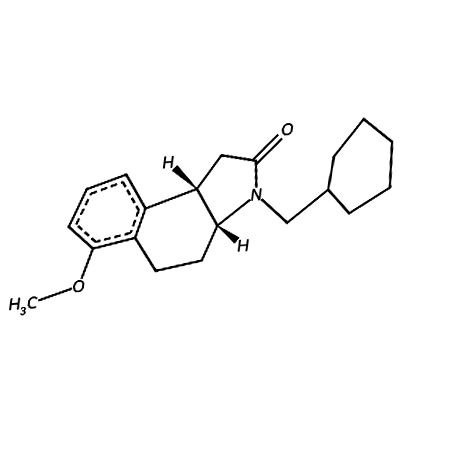 COc1cccc2c1CC[C@@H]1[C@H]2CC(=O)N1CC1CCCCC1